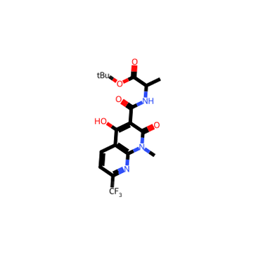 CC(NC(=O)c1c(O)c2ccc(C(F)(F)F)nc2n(C)c1=O)C(=O)OC(C)(C)C